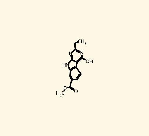 CCc1nc(O)c2c(n1)[nH]c1cc(C(=O)OC)ccc12